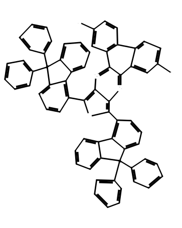 Brc1ccc2c3ccc(Br)cc3c3nc4c(-c5cccc6c5-c5ccccc5C6(c5ccccc5)c5ccccc5)sc(-c5cccc6c5-c5ccccc5C6(c5ccccc5)c5ccccc5)c4nc3c2c1